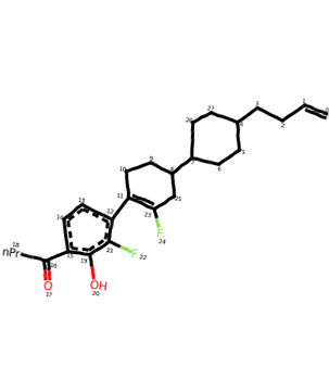 C=CCCC1CCC(C2CCC(c3ccc(C(=O)CCC)c(O)c3F)=C(F)C2)CC1